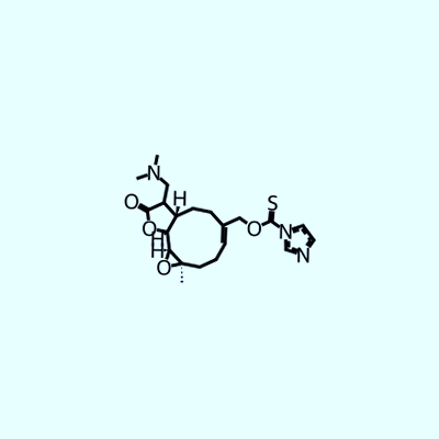 CN(C)CC1C(=O)O[C@H]2[C@H]1CC/C(COC(=S)n1ccnc1)=C\CC[C@@]1(C)O[C@@H]21